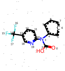 O=C(O)N(c1ccccc1)c1ccc(C(F)(F)F)cn1